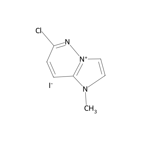 Cn1cc[n+]2nc(Cl)ccc12.[I-]